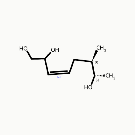 C[C@H](O)[C@H](C)C/C=C\C(O)CO